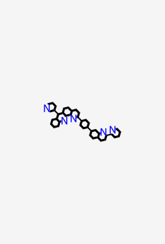 c1ccc(-c2ccc3ccc(-c4ccc(-c5ccc6ccc7c(-c8cccnc8)c8ccccc8nc7c6n5)cc4)cc3n2)nc1